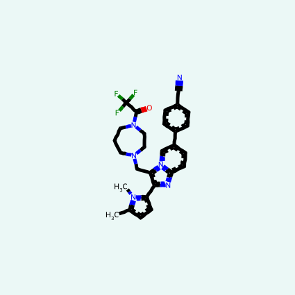 Cc1ccc(-c2nc3ccc(-c4ccc(C#N)cc4)cn3c2CN2CCCN(C(=O)C(F)(F)F)CC2)n1C